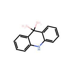 BC1(B)c2ccccc2Nc2ccccc21